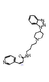 O=C(/C=C\c1cccnc1)NCCCCN1CCC(n2nnc3ccccc32)CC1